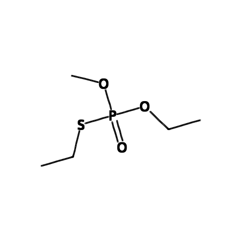 CCOP(=O)(OC)SCC